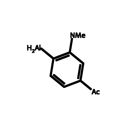 CNc1cc(C(C)=O)cc[c]1[AlH2]